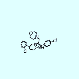 Clc1ccc(C2=C(CN3CCOCC3)N3C=C(c4ccccc4Cl)C=CC3N2)cc1